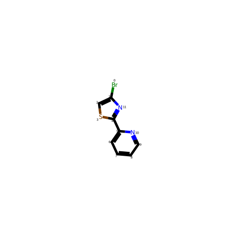 Brc1csc(-c2ccccn2)n1